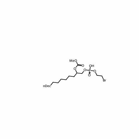 CCCCCCCCCCCCCCCCC(COP(=O)(O)OCCBr)OC(=O)OC